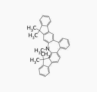 CN1c2cc3c(cc2-c2ccccc2-c2ccc4c(c21)C(C)(C)c1ccccc1-4)-c1ccccc1C3(C)C